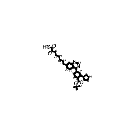 CC(C)(C)OC(=O)c1ccc(-c2ncnc3cc(CCCCCCC(=O)C(=O)O)ccc23)cc1C1CCCC1